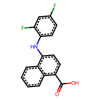 O=C(O)c1ccc(Nc2ccc(F)cc2F)c2ccccc12